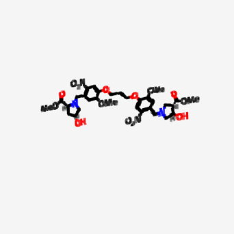 COC(=O)[C@H]1CN(Cc2cc(OC)c(OCCCOc3cc([N+](=O)[O-])c(CN4C[C@H](O)C[C@H]4C(=O)OC)cc3OC)cc2[N+](=O)[O-])C[C@@H]1O